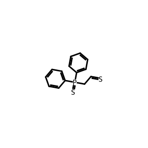 S=CCP(=S)(c1ccccc1)c1ccccc1